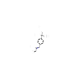 CCC(C)(C)c1ccc(/C=C(\C)C=O)cc1